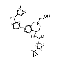 Cn1cc(Nc2nccc(-c3ccc4c(c3)CN(CCO)CCC4NC(=O)c3nnc(C4(C)CC4)o3)n2)cn1